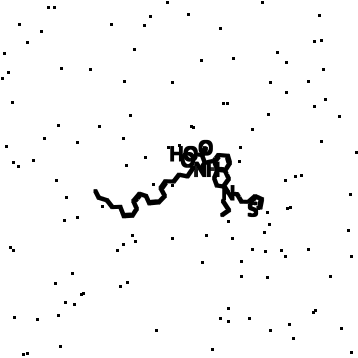 CCCCC/C=C\C/C=C\C/C=C\C/C=C\CCCC(=O)NC(C(=O)O)c1cccc2c1CC[C@H](N(CCC)CCc1cccs1)C2